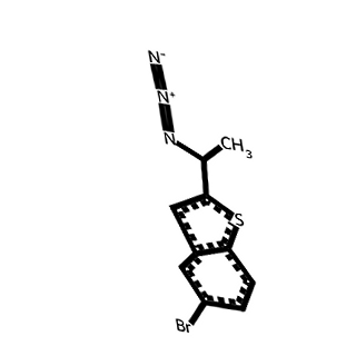 CC(N=[N+]=[N-])c1cc2cc(Br)ccc2s1